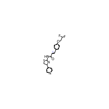 O=C(/C=C/c1ccc(OCC(F)F)cc1)NC1=NC(c2ccncc2)CS1